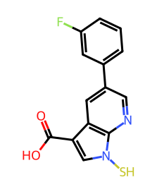 O=C(O)c1cn(S)c2ncc(-c3cccc(F)c3)cc12